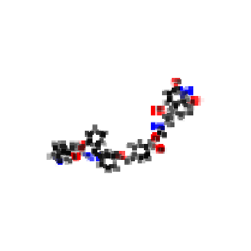 O=C(NC(c1ccccc1)c1cccc(OCc2ccc(C(=O)OCNC[C@H](O)c3ccc(O)c4[nH]c(=O)ccc34)cc2)c1)O[C@H]1CN2CCC1CC2